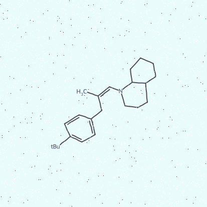 CC(=CN1CCCC2CCCCC21)Cc1ccc(C(C)(C)C)cc1